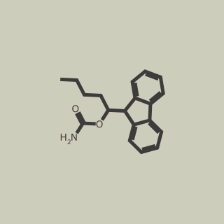 CCCCC(OC(N)=O)C1c2ccccc2-c2ccccc21